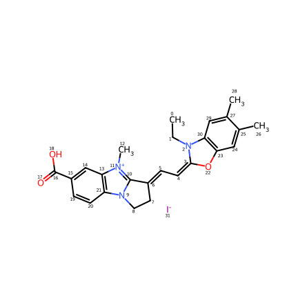 CCN1C(=CC=C2CCn3c2[n+](C)c2cc(C(=O)O)ccc23)Oc2cc(C)c(C)cc21.[I-]